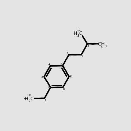 [CH2]Cc1ccc(CCC(C)C)cc1